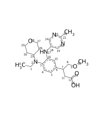 CCN(c1ccc(C(COC)CC(=O)O)cc1Nc1cnc(C)nc1)C1CCOCC1